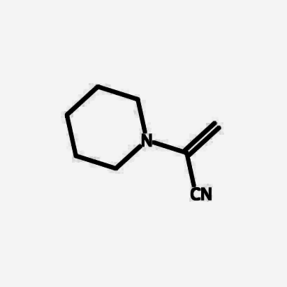 C=C(C#N)N1CCCCC1